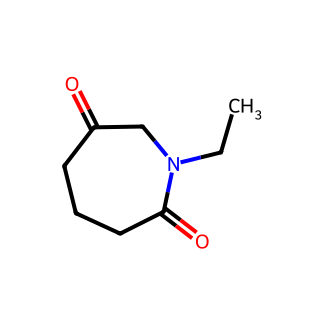 CCN1CC(=O)CCCC1=O